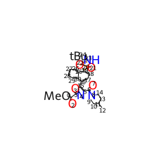 COC(=O)c1nc(C(=O)N2CCC(C)CC2)c(-c2ccc(S(=O)(=O)NC(C)(C)C)c3ccccc23)o1